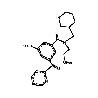 COCCN(CC1CCCNC1)C(=O)c1cc(OC)cc(C(=O)c2ccccn2)c1